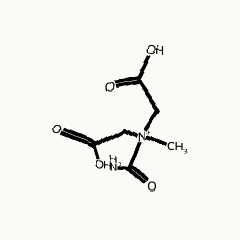 C[N+](CC(=O)O)(CC(=O)O)C(N)=O